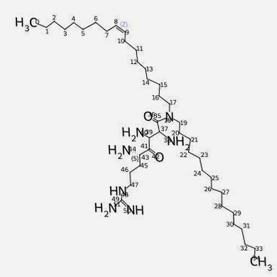 CCCCCCCC/C=C\CCCCCCCCN(CCCCCCCCCCCCCCCC)C(=O)C(N)C(N)C(=O)[C@@H](N)CCCNC(=N)N